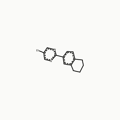 CCc1cnc(-c2ccc3c(c2)[CH]CCC3)nc1